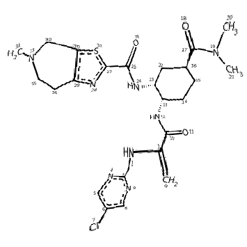 C=C(Nc1ncc(Cl)cn1)C(=O)N[C@H]1CC[C@H](C(=O)N(C)C)C[C@H]1NC(=O)c1nc2c(s1)CN(C)CC2